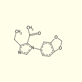 CCc1ncn(-c2ccc3c(c2)OCO3)c1C(C)=O